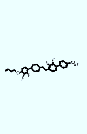 C=CCCOc1ccc(C2CCC(CCc3ccc(-c4ccc(OCC)cc4)c(F)c3F)CC2)c(F)c1F